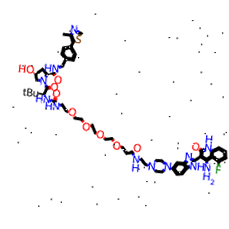 Cc1ncsc1-c1ccc(CNC(=O)[C@@H]2C[C@@H](O)CN2C(=O)[C@@H](NC(=O)NCCOCCOCCOCCOCCC(=O)NCCN2CCN(c3ccc4[nH]c(-c5c(N)c6c(F)cccc6[nH]c5=O)nc4c3)CC2)C(C)(C)C)cc1